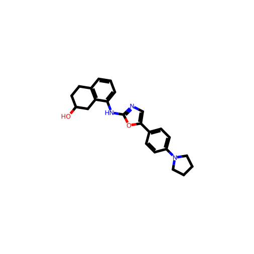 OC1CCc2cccc(Nc3ncc(-c4ccc(N5CCCC5)cc4)o3)c2C1